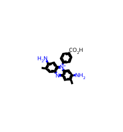 Cc1cc2nc3cc(C)c(N)cc3[n+](-c3ccc(C(=O)O)cc3)c2cc1N